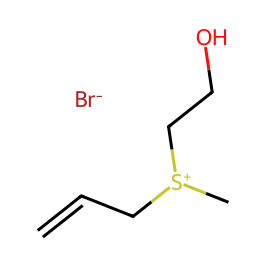 C=CC[S+](C)CCO.[Br-]